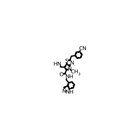 Cn1c(C(=O)NCc2cccc3[nH]ncc23)c(C=N)c2sc(Cc3cccc(C#N)c3)nc21